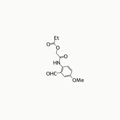 CCC(=O)OCC(=O)Nc1ccc(OC)cc1C=O